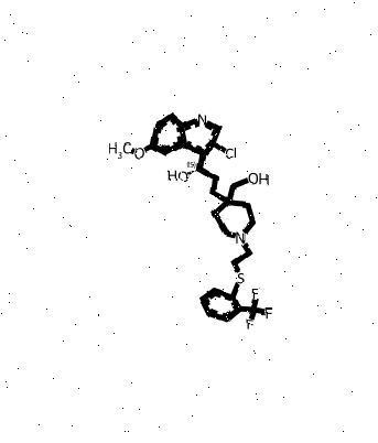 COc1ccc2ncc(Cl)c([C@@H](O)CCC3(CO)CCN(CCSc4ccccc4C(F)(F)F)CC3)c2c1